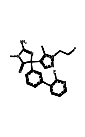 Cc1c(C2(c3cccc(-c4cccnc4F)c3)N=C(N)N(C)C2=O)cnn1CCF